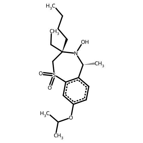 CCCC[C@]1(CC)CS(=O)(=O)c2cc(OC(C)C)ccc2[C@@H](C)N1O